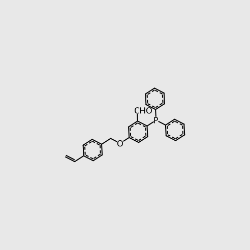 C=Cc1ccc(COc2ccc(P(c3ccccc3)c3ccccc3)c(C=O)c2)cc1